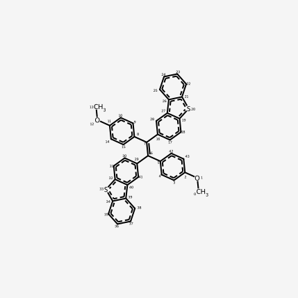 COc1ccc(/C(=C(/c2ccc(OC)cc2)c2ccc3sc4ccccc4c3c2)c2ccc3sc4ccccc4c3c2)cc1